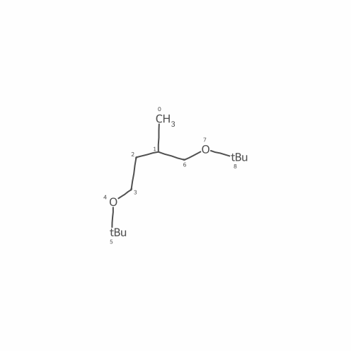 CC(CCOC(C)(C)C)COC(C)(C)C